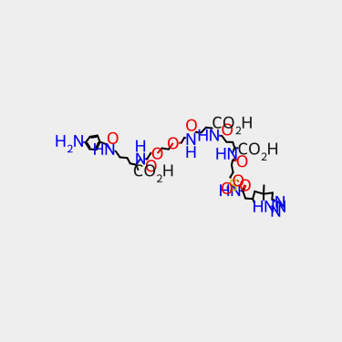 CC(CC(=O)NS(=O)(=O)CCCC(=O)NC(CCC(=O)NC(CCC(=O)NCCOCCOCC(=O)NC(CCCCNC(=O)c1ccc(N)cc1)C(=O)O)C(=O)O)C(=O)O)CC(C)(C)Cc1nnn[nH]1